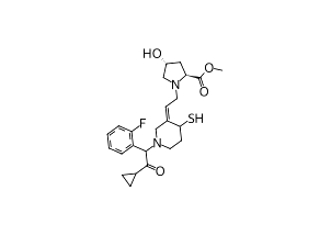 COC(=O)[C@@H]1C[C@@H](O)CN1C/C=C1/CN(C(C(=O)C2CC2)c2ccccc2F)CCC1S